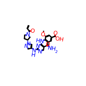 C=CC(=O)N1CC[C@@H](n2cc(Nc3ncc(C(N)=O)c(Nc4c(C)cc(C(=O)O)cc4OC)n3)cn2)C1